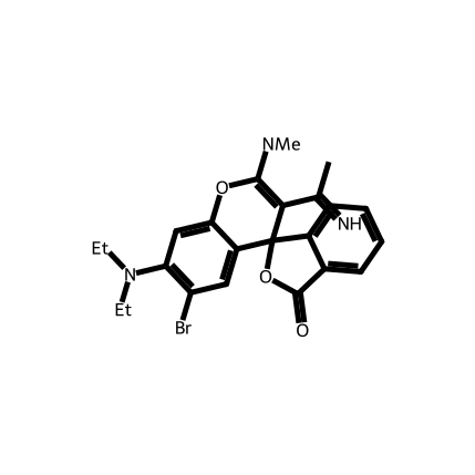 CCN(CC)c1cc2c(cc1Br)C1(OC(=O)c3ccccc31)C(C(C)=N)=C(NC)O2